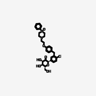 O=C1[C@H](c2ccc(Cl)c(Cc3ccc(OCCN4CCP(=O)(c5ccccc5)CC4)cc3)c2)O[C@H](CO)[C@@H](O)[C@@H]1O